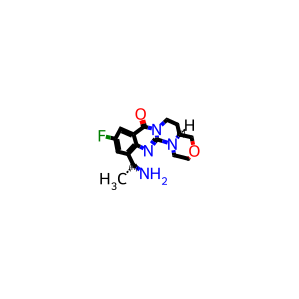 C[C@@H](N)c1cc(F)cc2c(=O)n3c(nc12)N1CCOC[C@@H]1CC3